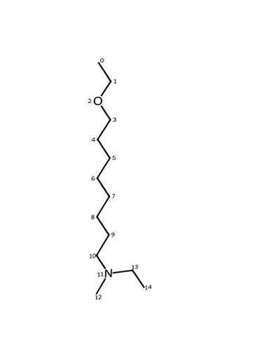 CCOCCCCCCCCN(C)CC